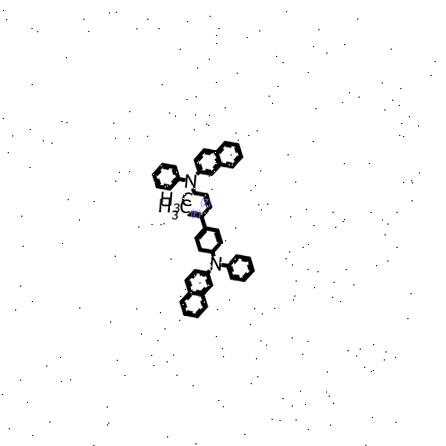 C/C=C(\C=C/C(C)N(c1ccccc1)c1ccc2ccccc2c1)C1=CCC(N(c2ccccc2)c2ccc3ccccc3c2)C=C1